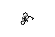 O=S(=O)(c1ccccc1)n1cc(CC2CC2)c2cccnc21